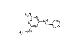 CNc1nc(N)nc(NCc2ccsc2)n1